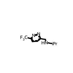 CC(C)NCc1ccc(C(F)(F)F)nn1